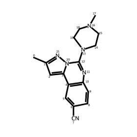 Cc1cc2c3cc(C#N)ccc3nc(N3CCN(C)CC3)n2n1